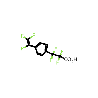 O=C(O)C(F)(F)C(F)(F)c1ccc(C(F)=C(F)F)cc1